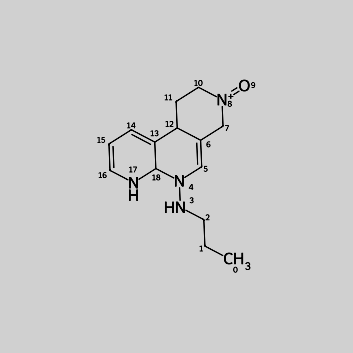 CCCNN1C=C2C[N+](=O)CCC2C2=CC=CNC21